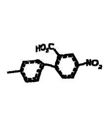 Cc1ccc(-c2ccc([N+](=O)[O-])cc2C(=O)O)cc1